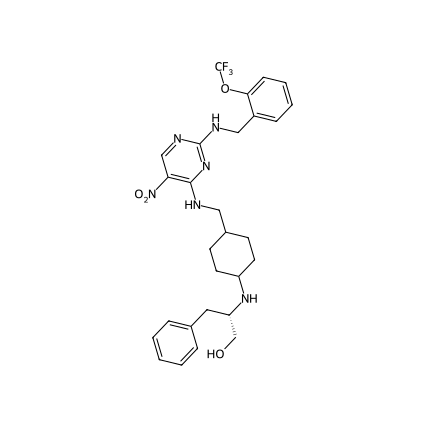 O=[N+]([O-])c1cnc(NCc2ccccc2OC(F)(F)F)nc1NCC1CCC(N[C@H](CO)Cc2ccccc2)CC1